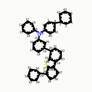 c1ccc(-c2ccc(N(c3ccccc3)c3cccc(-c4cccc5c4sc4c(-c6ccccc6)cccc45)c3)cc2)cc1